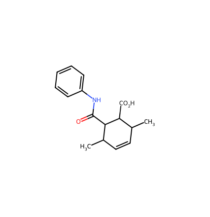 CC1C=CC(C)C(C(=O)Nc2ccccc2)C1C(=O)O